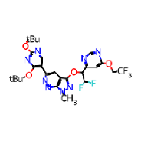 Cn1nc(OC(c2cc(OCC(F)(F)F)ncn2)C(F)F)c2cc(-c3cnc(OC(C)(C)C)nc3OC(C)(C)C)nnc21